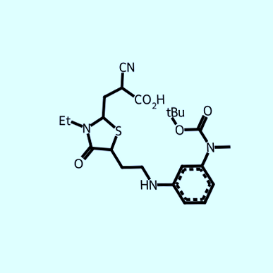 CCN1C(=O)C(CCNc2cccc(N(C)C(=O)OC(C)(C)C)c2)SC1CC(C#N)C(=O)O